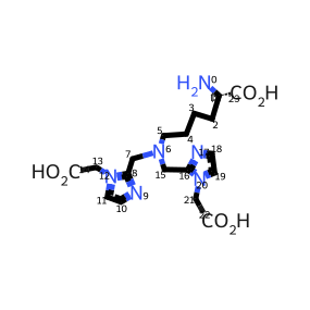 N[C@@H](CCCCN(Cc1nccn1CC(=O)O)Cc1nccn1CC(=O)O)C(=O)O